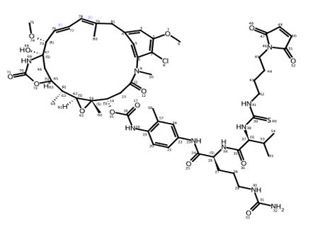 COc1cc2cc(c1Cl)N(C)C(=O)C[C@H](OC(=O)Nc1ccc(NC(=O)[C@H](CCCNC(N)=O)NC(=O)[C@@H](NC(=S)NCCCCN3C(=O)C=CC3=O)C(C)C)cc1C)[C@]1(C)O[C@H]1[C@H](C)[C@@H]1C[C@@](O)(NC(=O)O1)[C@H](OC)/C=C/C=C(\C)C2